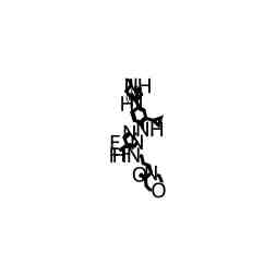 CN1C[C@H]2C[C@@H]1CN2c1ccc(Nc2ncc(C(F)(F)F)c(NCCCN3CCOCCC3=O)n2)c(C2CC2)c1